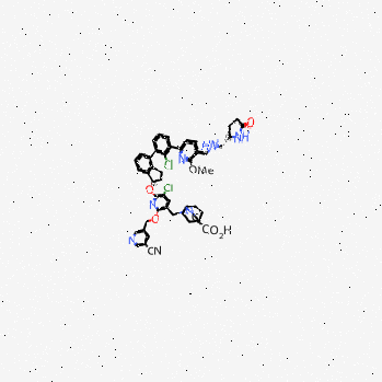 COc1nc(-c2cccc(-c3cccc4c3CC[C@@H]4Oc3nc(OCc4cncc(C#N)c4)c(CN4CC5(C(=O)O)CCC4CC5)cc3Cl)c2Cl)ccc1CNC[C@@H]1CCC(=O)N1